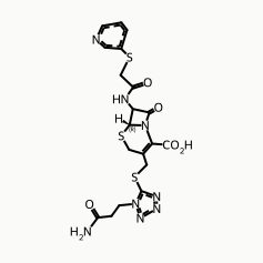 NC(=O)CCn1nnnc1SCC1=C(C(=O)O)N2C(=O)C(NC(=O)CSc3cccnc3)[C@H]2SC1